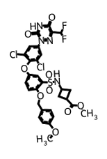 COC(=O)C1CC(NS(=O)(=O)c2cc(Oc3c(Cl)cc(-n4nc(C(F)F)c(=O)[nH]c4=O)cc3Cl)ccc2OCc2ccc(OC)cc2)C1